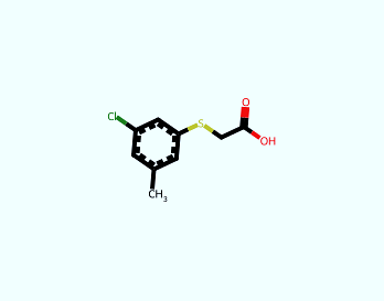 Cc1cc(Cl)cc(SCC(=O)O)c1